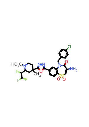 CC1(c2nnc(-c3ccc4c(c3)N(Cc3ccc(Cl)cc3)C(=O)C(N)=CS4(=O)=O)o2)CCN(C(=O)O)C(C(F)C(F)F)C1